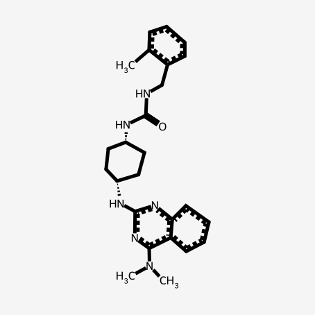 Cc1ccccc1CNC(=O)N[C@H]1CC[C@@H](Nc2nc(N(C)C)c3ccccc3n2)CC1